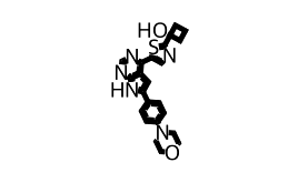 OC1(c2ncc(-c3ncnc4[nH]c(-c5ccc(N6CCOCC6)cc5)cc34)s2)CCC1